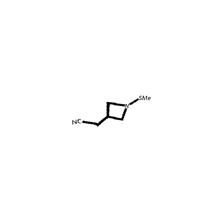 CSN1CC(CC#N)C1